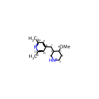 COC1CCNCC1Cc1cc(C)nc(C)c1